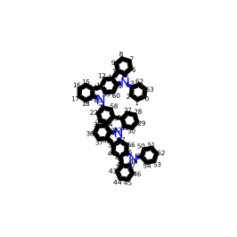 c1ccc(-n2c3ccccc3c3cc4c5ccccc5n(-c5cccc(-c6ccccc6-n6c7ccccc7c7cc8c9ccccc9n(-c9ccccc9)c8cc76)c5)c4cc32)cc1